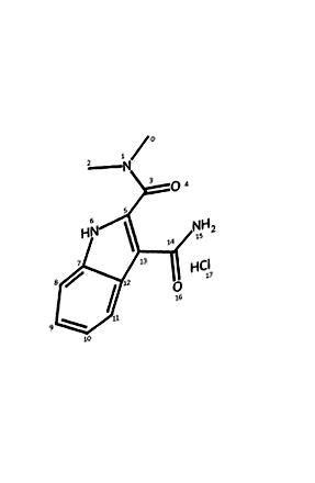 CN(C)C(=O)c1[nH]c2ccccc2c1C(N)=O.Cl